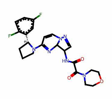 O=C(NC1C=NN2C=CC(N3CCC[C@@H]3c3cc(F)ccc3F)=NC12)C(=O)N1CCOCC1